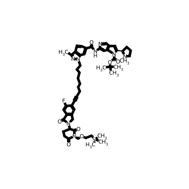 Cc1nn(CCCCCCCC#Cc2cc3c(cc2F)C(=O)N(C2CCC(=O)N(COCC[Si](C)(C)C)C2=O)C3)c2cc(C(=O)Nc3cc4c(cn3)cc([C@H]3CCCN3C)n4C(=O)OC(C)(C)C)ccc12